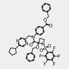 O=C(OCc1ccccc1)c1ccc(N(Cc2cnc(C3CCCC3)cn2)C(=O)[C@]2(OCc3ccccc3)CCN2S(=O)(=O)c2c(F)c(F)c(F)c(F)c2F)cc1